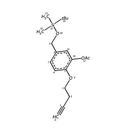 C#CCCOc1ccc(CO[Si](C)(C)C(C)(C)C)cc1OC(C)=O